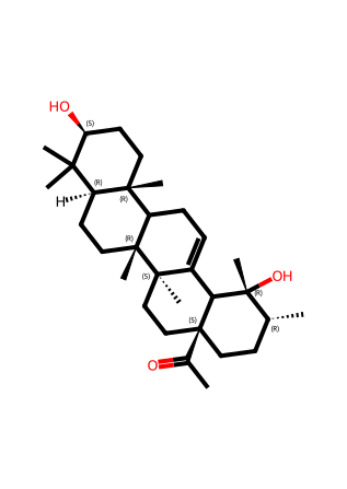 CC(=O)[C@]12CC[C@@H](C)[C@@](C)(O)C1C1=CCC3[C@@]4(C)CC[C@H](O)C(C)(C)[C@@H]4CC[C@@]3(C)[C@]1(C)CC2